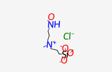 CO[Si](CCC[N+](C)(C)CCCNC=O)(OC)OC.[Cl-]